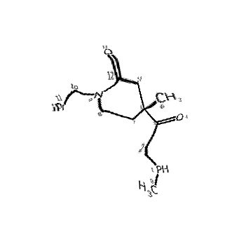 CPCC(=O)C1(C)CCN(CC(C)C)C(=O)C1